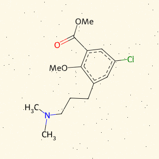 COC(=O)c1cc(Cl)cc(CCCN(C)C)c1OC